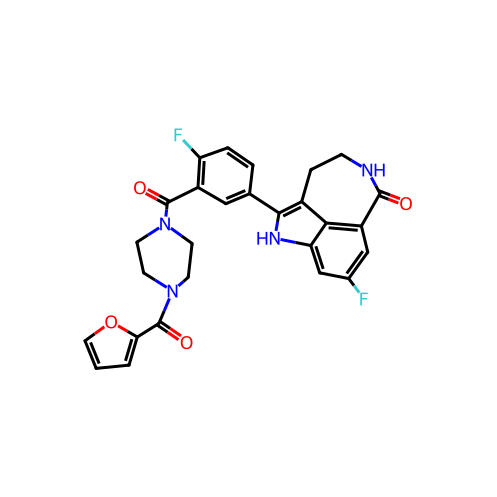 O=C1NCCc2c(-c3ccc(F)c(C(=O)N4CCN(C(=O)c5ccco5)CC4)c3)[nH]c3cc(F)cc1c23